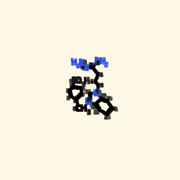 Cc1ccc(S(=O)(=O)O)cc1.NN=C(N)CCCn1cnc2ccccc21